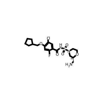 NC[C@@H]1CN(S(=O)(=O)NC(=O)c2cc(Cl)c(OCC3CCCC3)cc2F)CCO1